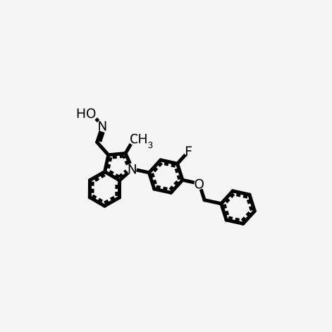 Cc1c(C=NO)c2ccccc2n1-c1ccc(OCc2ccccc2)c(F)c1